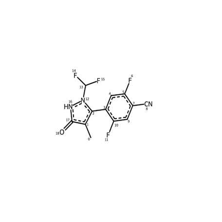 Cc1c(-c2cc(F)c(C#N)cc2F)n(C(F)F)[nH]c1=O